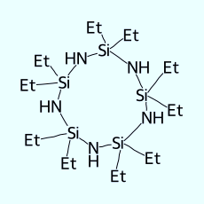 CC[Si]1(CC)N[Si](CC)(CC)N[Si](CC)(CC)N[Si](CC)(CC)N[Si](CC)(CC)N1